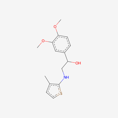 COc1ccc(C(O)CNc2sccc2C)cc1OC